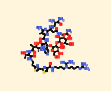 Cc1c(N)nc(C(CC(N)=O)NCC(N)C(N)=O)nc1C(=O)NC(C(=O)NC(C)C(O)C(C)C(=O)NC(C(=O)NCCc1nc(-c2nc(C(=O)NCCCCN(CCCCN=C(N)N)C(=N)N)cs2)cs1)C(C)O)C(OC1OC(CO)C(O)C(O)C1OC1OC(CO)C(O)C(OC(N)=O)C1O)c1cnc[nH]1